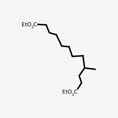 CCOC(=O)CCCCCCCC(C)CCC(=O)OCC